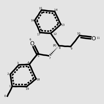 Cc1ccc(C(=O)C[C@@H](CC=O)c2ccccc2)cc1